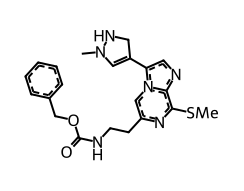 CSc1nc(CCNC(=O)OCc2ccccc2)cn2c(C3=CN(C)NC3)cnc12